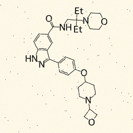 CCC(CC)(CNC(=O)c1ccc2[nH]nc(-c3ccc(OC4CCN(C5COC5)CC4)cc3)c2c1)N1CCOCC1